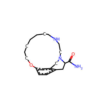 NC(=O)C1Cc2ccc3cc2CN1CCNCCCCCCCO3